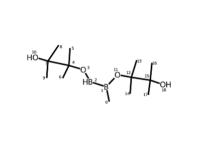 CB(BOC(C)(C)C(C)(C)O)OC(C)(C)C(C)(C)O